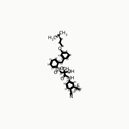 CN(C)CCCOc1cccc(Cc2ccccc2S(=O)(=O)CC(C)(O)C(=O)Nc2ccc(C#N)c(C(F)(F)F)c2)c1